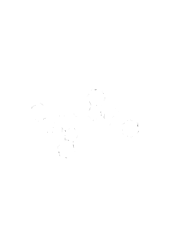 Cc1ccc2c(c1)c(C(=O)c1cc3ccccc3n1S(=O)(=O)c1ccccc1)cn2S(=O)(=O)c1ccccc1